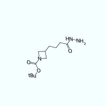 CC(C)(C)OC(=O)N1CC(CCCC(=O)NN)C1